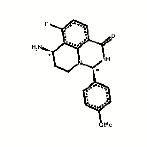 COc1ccc([C@@H]2NC(=O)c3ccc(Cl)c4c3N2CC[C@H]4N)cc1